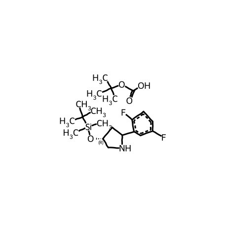 CC(C)(C)OC(=O)O.CC(C)(C)[Si](C)(C)O[C@H]1CNC(c2cc(F)ccc2F)C1